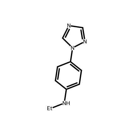 CCNc1ccc(-n2cncn2)cc1